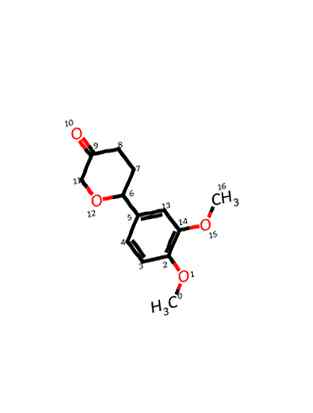 COc1ccc(C2CCC(=O)CO2)cc1OC